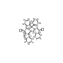 Clc1cc2c(c3ccccc13)-c1c(cc(Cl)c3sc4ccccc4c13)C2(c1ccccc1)c1ccccc1